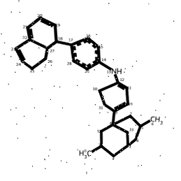 CC1CC2CC(C)CC(C3=CC=C(Nc4ccc(C5C=CC=C6C=CCCC65)cc4)CC3)(C1)C2